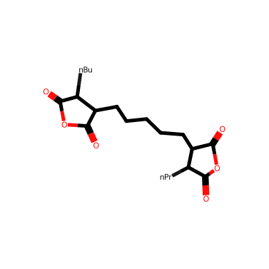 CCCCC1C(=O)OC(=O)C1CCCCCC1C(=O)OC(=O)C1CCC